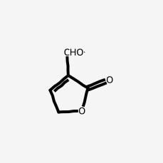 O=[C]C1=CCOC1=O